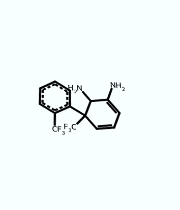 NC1=CC=CC(c2ccccc2C(F)(F)F)(C(F)(F)F)C1N